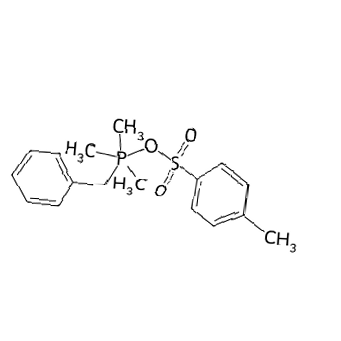 Cc1ccc(S(=O)(=O)OP(C)(C)(C)Cc2ccccc2)cc1